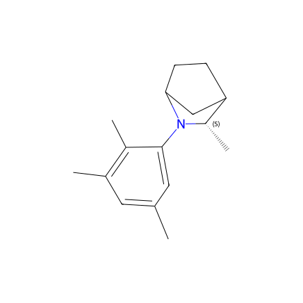 Cc1cc(C)c(C)c(N2C3CCC(C3)[C@@H]2C)c1